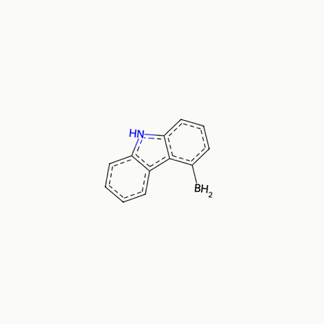 Bc1cccc2[nH]c3ccccc3c12